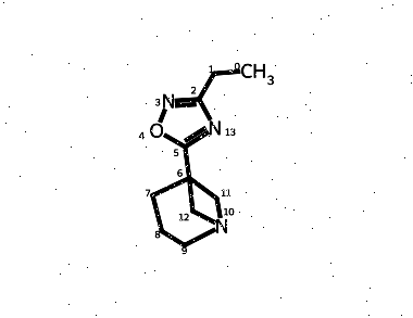 CCc1noc(C23CCCN(C2)C3)n1